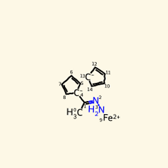 CC(=NN)[c-]1cccc1.[Fe+2].c1cc[cH-]c1